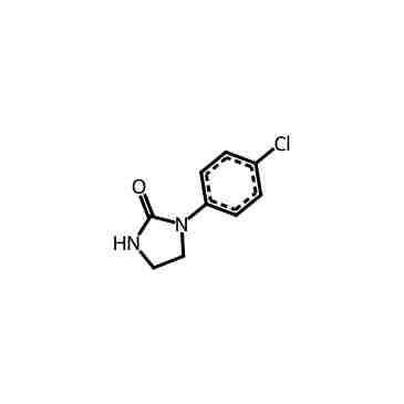 O=C1NCCN1c1ccc(Cl)cc1